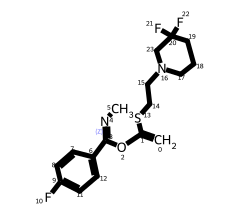 C=C(O/C(=N\C)c1ccc(F)cc1)SCCN1CCCC(F)(F)C1